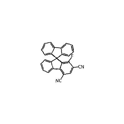 N#Cc1cc(C#N)c2c(c1F)C1(c3ccccc3-c3ccccc31)c1ccccc1-2